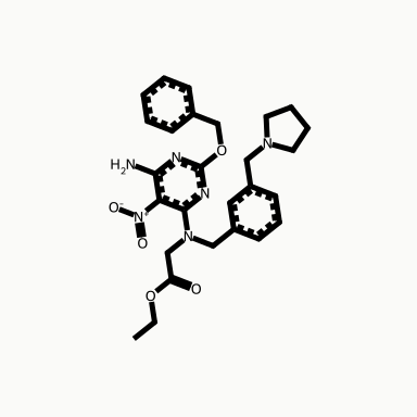 CCOC(=O)CN(Cc1cccc(CN2CCCC2)c1)c1nc(OCc2ccccc2)nc(N)c1[N+](=O)[O-]